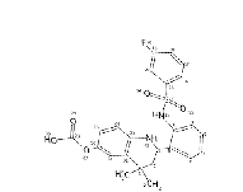 CC1(C)CC(c2ccccc2NS(=O)(=O)c2cccc(F)c2)Nc2ccc(OC(=O)O)cc21